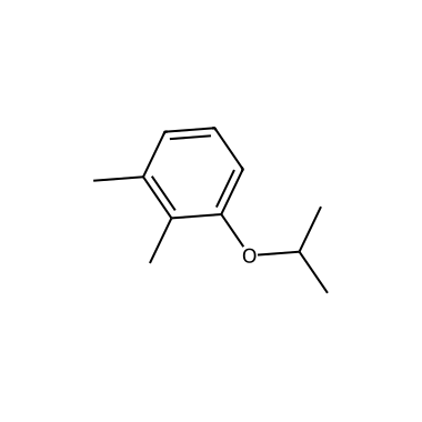 Cc1cccc(OC(C)C)c1C